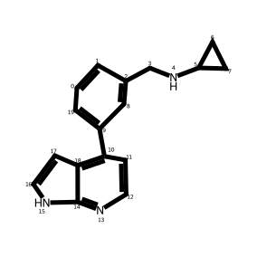 c1cc(CNC2CC2)cc(-c2ccnc3[nH]ccc23)c1